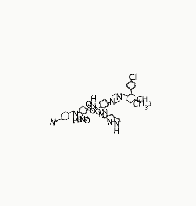 CC1(C)CCC(CN2CCN(c3ccc(C(=O)NS(=O)(=O)c4ccc(NCC5CCC(C#N)CC5)c([N+](=O)[O-])c4)c(-n4ncc5nc6[nH]ccc6cc54)c3)CC2)=C(c2ccc(Cl)cc2)C1